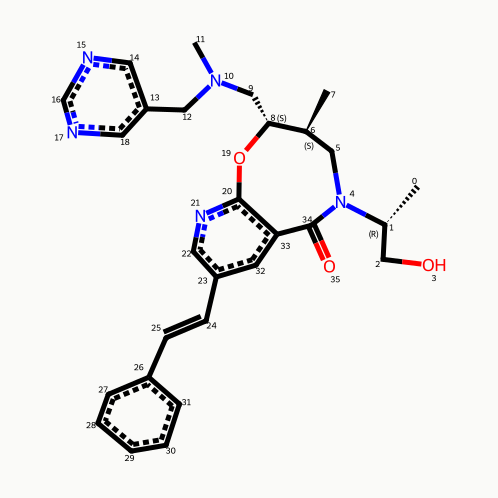 C[C@H](CO)N1C[C@H](C)[C@@H](CN(C)Cc2cncnc2)Oc2ncc(C=Cc3ccccc3)cc2C1=O